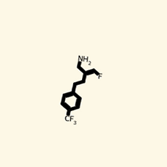 NC/C(=C/F)CCc1ccc(C(F)(F)F)cc1